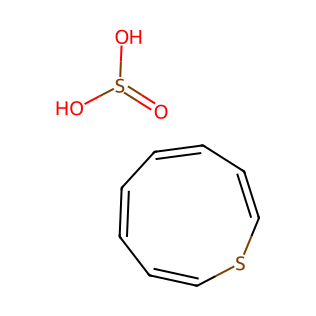 O=S(O)O.c1ccccsccc1